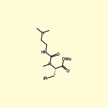 COC(=O)[C@H](CC(C)C)N(C)C(=O)NCCN(C)C